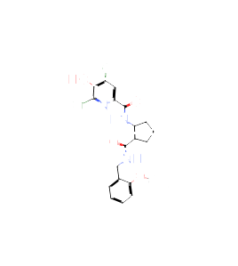 O=C(NC1CCCC1C(=O)NCc1ccccc1OC(F)(F)F)c1cc(Cl)c(O)c(Cl)n1